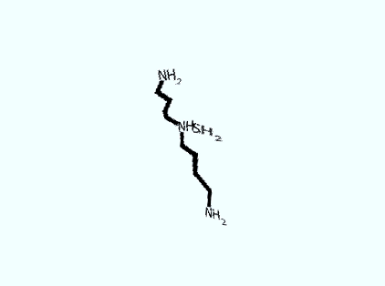 NCCCCNCCCN.S